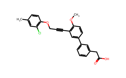 COc1ccc(-c2cccc(CC(=O)O)c2)cc1C#CCOc1ccc(C)cc1Cl